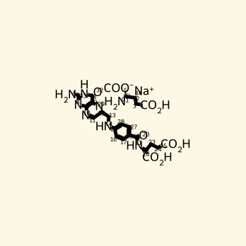 N[C@@H](CCC(=O)O)C(=O)[O-].Nc1nc2ncc(CNc3ccc(C(=O)N[C@@H](CCC(=O)O)C(=O)O)cc3)nc2c(=O)[nH]1.[Na+]